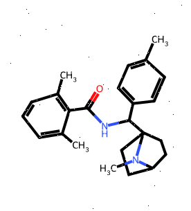 Cc1ccc(C(NC(=O)c2c(C)cccc2C)C23CCC(CC2)N3C)cc1